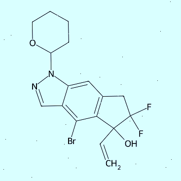 C=CC1(O)c2c(cc3c(cnn3C3CCCCO3)c2Br)CC1(F)F